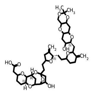 C=C1CCC(CC[C@@H]2OC(CCC34CC(O)C(O3)C3C[C@@H](O4)C4OC(CC(=O)O)CC[C@@H]4O3)CC2=C)OC1C[C@@H]1OC2CC3OC(C)(C)OCC3OC2CC1O